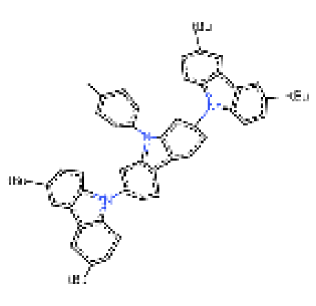 Cc1ccc(-n2c3cc(-n4c5ccc(C(C)(C)C)cc5c5cc(C(C)(C)C)ccc54)ccc3c3ccc(-n4c5ccc(C(C)(C)C)cc5c5cc(C(C)(C)C)ccc54)cc32)cc1